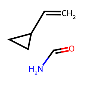 C=CC1CC1.NC=O